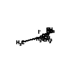 CCCCCCCCCCCCCCCCOc1ccc(CC(=O)NCc2cccc[n+]2CC)cc1C(C)(C)C.[I-]